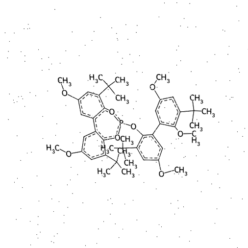 COc1cc(-c2cc(OC)cc(C(C)(C)C)c2Op2oc3c(C(C)(C)C)cc(OC)cc3c3cc(OC)cc(C(C)(C)C)c3o2)c(OC)c(C(C)(C)C)c1